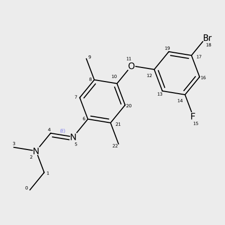 CCN(C)/C=N/c1cc(C)c(Oc2cc(F)cc(Br)c2)cc1C